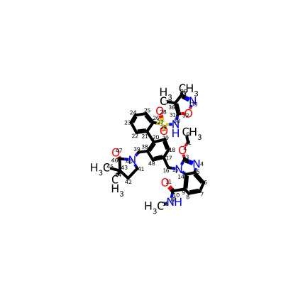 CCOc1nc2cccc(C(=O)NC)c2n1Cc1ccc(-c2ccccc2S(=O)(=O)Nc2onc(C)c2C)c(CN2CCC(C)(C)C2=O)c1